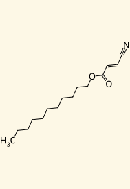 CCCCCCCCCCCOC(=O)C=CC#N